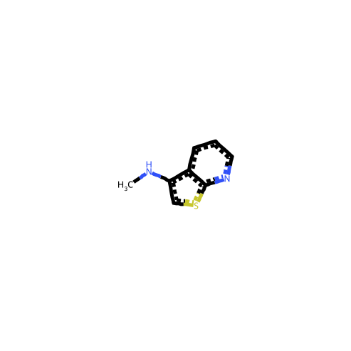 CNc1csc2ncccc12